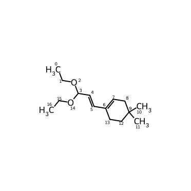 CCOC(C=CC1=CCC(C)(C)CC1)OCC